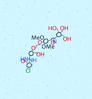 COc1cc(-c2cc(-c3cc(CO)c(CO)c(CO)c3)no2)cc(OC)c1OCCCOc1ccc(C2NC(=O)c3cc(Cl)ccc3N2)cc1CO